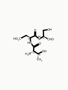 C[C@@H](O)[C@H](N)C(=O)N[C@@H](CC(=O)O)C(=O)N[C@H]([C]=O)CO